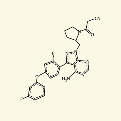 N#CCC(=O)N1CCCC1Cn1nc(-c2ccc(Oc3cccc(F)c3)cc2F)c2c(N)ncnc21